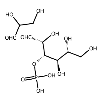 O=CC(O)CO.O=C[C@H](O)[C@@H](OP(=O)(O)O)[C@H](O)[C@H](O)CO